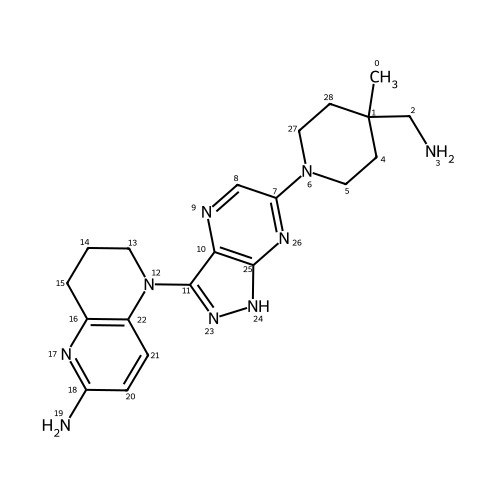 CC1(CN)CCN(c2cnc3c(N4CCCc5nc(N)ccc54)n[nH]c3n2)CC1